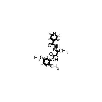 CC(CC(=O)Nc1cc(C)ccc1C)=NNC(=O)c1ccncc1